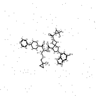 C[C@@H](OCC1(C(F)(F)F)CC1)[C@H](NC(=O)C1CN(c2cc(F)cc3ncsc23)CC12CN(C(=O)[C@H]1CC1(C)C)C2)C(=O)N1CCC(c2ccncc2)CC1